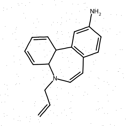 C=CCN1C=Cc2ccc(N)cc2C2C=CC=CC21